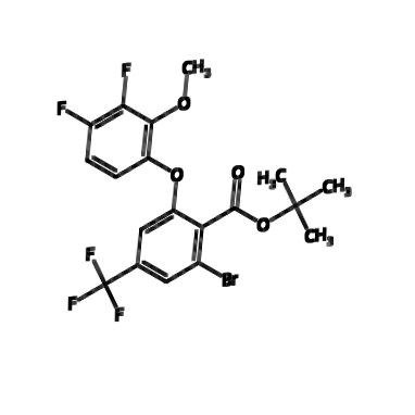 COc1c(Oc2cc(C(F)(F)F)cc(Br)c2C(=O)OC(C)(C)C)ccc(F)c1F